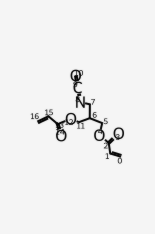 C=CC(=O)OCC(CN=C=O)COC(=O)C=C